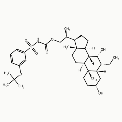 CC[C@H]1[C@@H](O)[C@@H]2[C@H](CC[C@]3(C)[C@@H]([C@H](C)COC(=O)NS(=O)(=O)c4cccc(OC(C)(C)C)c4)CC[C@@H]23)[C@@]2(C)CC[C@@H](O)C[C@@H]12